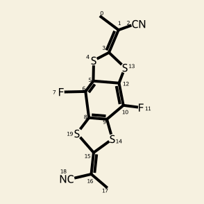 CC(C#N)=C1Sc2c(F)c3c(c(F)c2S1)SC(=C(C)C#N)S3